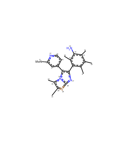 CNc1cc(-c2c(-c3c(C)c(C)c(C)c(N)c3C)nc3sc(C)c(C)n23)ccn1